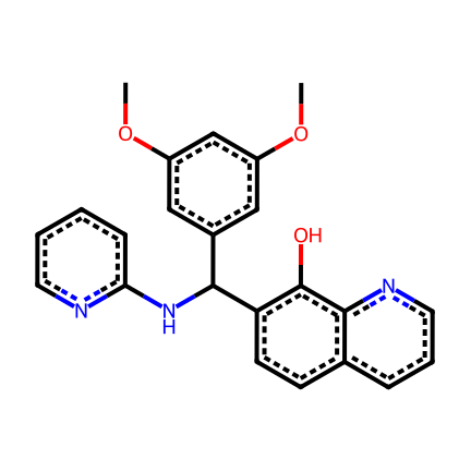 COc1cc(OC)cc(C(Nc2ccccn2)c2ccc3cccnc3c2O)c1